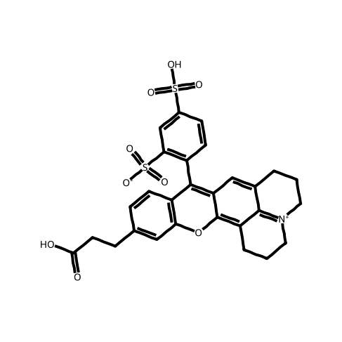 O=C(O)CCc1ccc2c(c1)Oc1c3c4c(cc1=C2c1ccc(S(=O)(=O)O)cc1S(=O)(=O)[O-])CCC[N+]=4CCC3